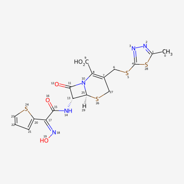 Cc1nnc(SCC2=C(C(=O)O)N3C(=O)[C@@H](NC(=O)C(=NO)c4cccs4)[C@@H]3SC2)s1